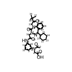 CC(=O)N(CC(=O)O)c1cccc(NC(=O)CN2N=C(C3CCCCC3)c3ccccc3N(CC(=O)C(C)(C)C)C2=O)c1